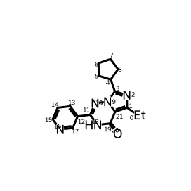 CCc1nc(C2CCCC2)n2nc(-c3cccnc3)[nH]c(=O)c12